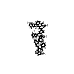 C=CC1=C(/C=C(\C)c2cc3c(=O)cc[nH]c3nc2-c2ccccc2)CC(c2cccc(-c3nc4[nH]ccc(=O)c4cc3-c3c[nH]c4nc(-c5cccc(-c6nc7[nH]ccc(=O)c7cc6-c6cc7cccnc7[nH]6)c5)ccc34)c2)CN1